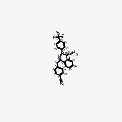 N#Cc1ccc(C/C(=N/N(C(N)=O)c2ccc(C(F)(F)F)cc2)c2ccccc2)cc1